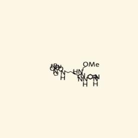 COCCCNc1nc(Nc2ccc3cn[nH]c3c2)ncc1C#CCCCNC(=O)[C@@H]1CCCN1C(=O)OC(C)(C)C